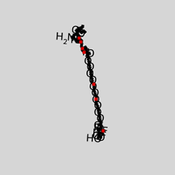 CCCN(OCC)C(=O)C1=Cc2sc(CCC3CCN(C(=O)CCOCCOCCOCCOCCOCCOCCOCCOCCOCCOCCC(=O)Cc4c(F)c(F)c(S(=O)(=O)O)c(F)c4F)CC3)cc2N=C(N)C1